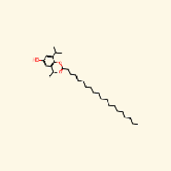 CCCCCCCCCCCCCCCCCCCC(=O)Oc1c(C(C)C)cc(O)cc1C(C)C